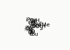 CSCCC(N)C(=O)N(C(=O)C(N)C(C)C)C(Cc1cn(C(=O)OC(C)(C)C)c2ccccc12)C(=O)O